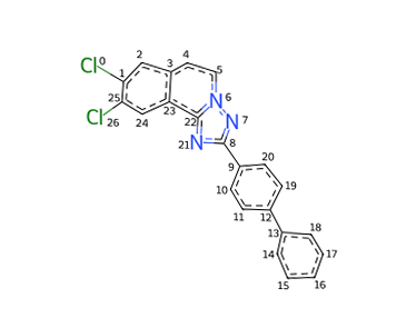 Clc1cc2ccn3nc(-c4ccc(-c5ccccc5)cc4)nc3c2cc1Cl